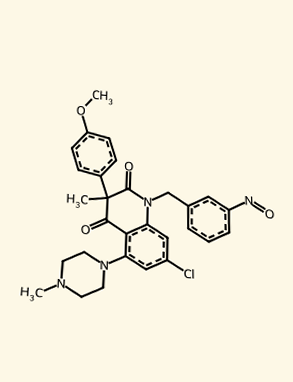 COc1ccc(C2(C)C(=O)c3c(N4CCN(C)CC4)cc(Cl)cc3N(Cc3cccc(N=O)c3)C2=O)cc1